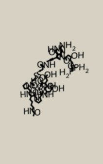 CC(=O)NCCCCC(NC(=O)C1CCCN1C(=O)CCSSCCC(=O)NCC#Cc1cn(C2CC(O)C(COP(P)P)O2)c2nc(N)[nH]c(=O)c12)C(=O)N1CCCC1C(=O)NC(CC(=O)O)C(=O)NC(CC(=O)O)C(=O)O